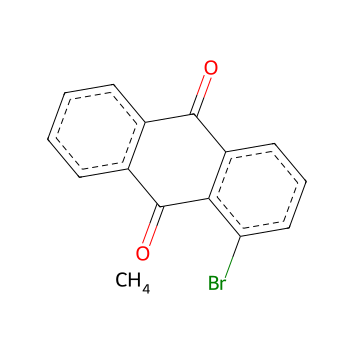 C.O=C1c2ccccc2C(=O)c2c(Br)cccc21